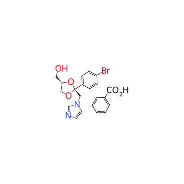 O=C(O)c1ccccc1.OC[C@@H]1CO[C@@](Cn2ccnc2)(c2ccc(Br)cc2)O1